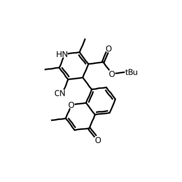 [C-]#[N+]C1=C(C)NC(C)=C(C(=O)OC(C)(C)C)C1c1cccc2c(=O)cc(C)oc12